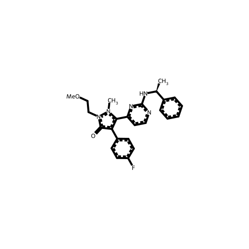 COCCn1c(=O)c(-c2ccc(F)cc2)c(-c2ccnc(N[C@@H](C)c3ccccc3)n2)n1C